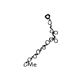 COCCOCCOCCOCCOCCOCOC(=O)CCC(=O)OCCCOCc1ccccc1